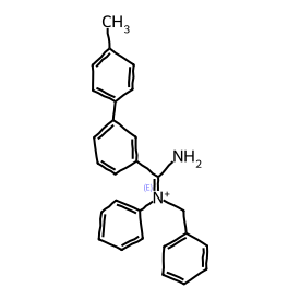 Cc1ccc(-c2cccc(/C(N)=[N+](/Cc3ccccc3)c3ccccc3)c2)cc1